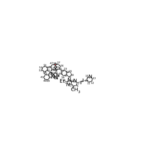 CCc1nc2c(C)cc(C#Cc3cccnc3)nc2n1C1CCc2cc(-c3ccccc3-c3nnnn3C(c3ccccc3)(c3ccccc3)c3ccccc3)ccc21